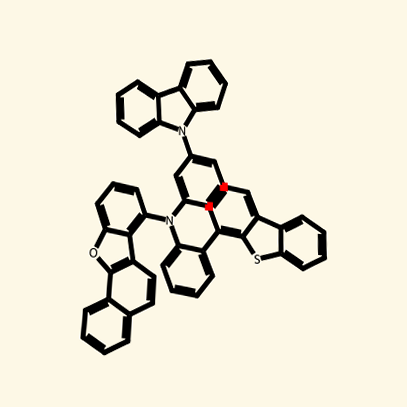 c1cc(N(c2ccccc2-c2cccc3c2sc2ccccc23)c2cccc3oc4c5ccccc5ccc4c23)cc(-n2c3ccccc3c3ccccc32)c1